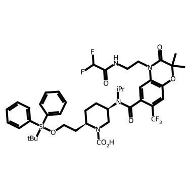 CC(C)N(C(=O)c1cc2c(cc1C(F)(F)F)OC(C)(C)C(=O)N2CCNC(=O)C(F)F)[C@@H]1CC[C@H](CCO[Si](c2ccccc2)(c2ccccc2)C(C)(C)C)N(C(=O)O)C1